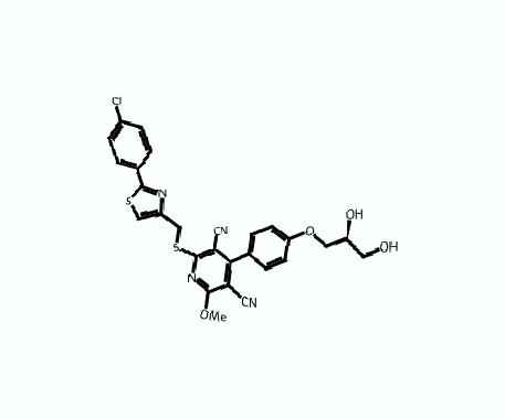 COc1nc(SCc2csc(-c3ccc(Cl)cc3)n2)c(C#N)c(-c2ccc(OC[C@@H](O)CO)cc2)c1C#N